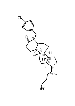 CC(C)CCC[C@@H](C)[C@H]1CC[C@H]2[C@@H]3CCC4[C@H](Cc5ccc(Cl)cc5)C(=O)CC[C@]4(C)[C@H]3CC[C@]12C